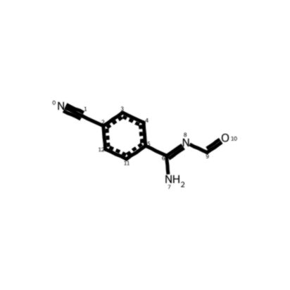 N#Cc1ccc(C(N)=NC=O)cc1